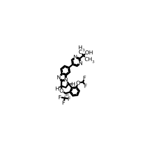 CC(C)(O)c1ncc(-c2ccc3nc4n(c3c2)[C@H]2C[C@@H]4O[C@@H](C(F)(F)F)c3cccc(OC(F)F)c32)cn1